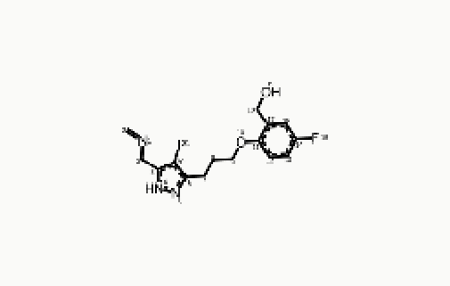 C=NCc1[nH]nc(CCCOc2ccc(F)cc2CO)c1I